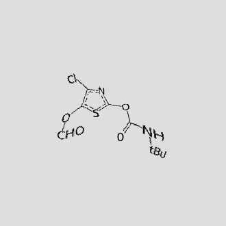 CC(C)(C)NC(=O)Oc1nc(Cl)c(OC=O)s1